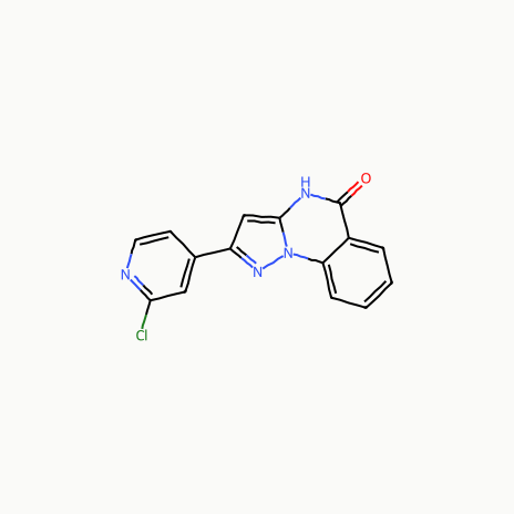 O=c1[nH]c2cc(-c3ccnc(Cl)c3)nn2c2ccccc12